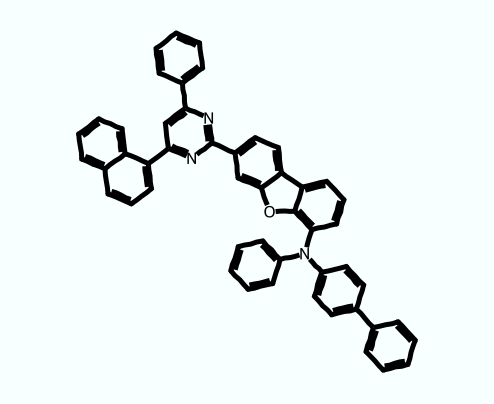 c1ccc(-c2ccc(N(c3ccccc3)c3cccc4c3oc3cc(-c5nc(-c6ccccc6)cc(-c6cccc7ccccc67)n5)ccc34)cc2)cc1